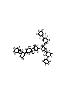 c1ccc(-c2cccc(-c3nc(-c4cccc(-c5ccccc5)c4)nc(-c4ccc5c(c4)oc4cc(-c6cccc7c6oc6ccccc67)ccc45)n3)c2)cc1